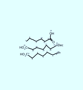 CC(C)CCCCCC(=O)O.CCCCCC(=O)O.CCCCCCCCCCCCCCCC(=O)O